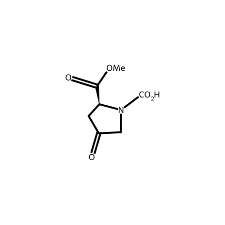 COC(=O)[C@@H]1CC(=O)CN1C(=O)O